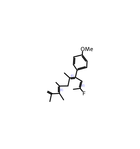 C=C(C)/C(C)=C(\C)C/C(C)=C(\C=C(/C)F)c1ccc(OC)cc1